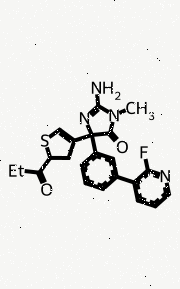 CCC(=O)C1CC(C2(c3cccc(-c4cccnc4F)c3)N=C(N)N(C)C2=O)=CS1